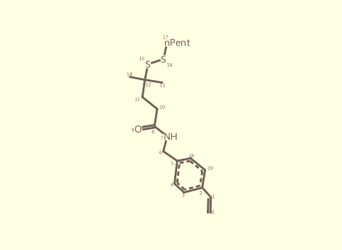 C=Cc1ccc(CNC(=O)CCC(C)(C)SSCCCCC)cc1